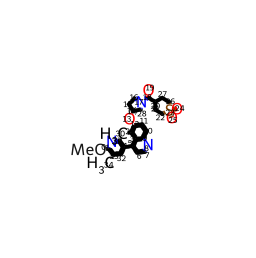 COc1ncc(-c2ccnc3ccc(O[C@H]4CCN(C(=O)C5CCS(=O)(=O)CC5)C4)c(C)c23)cc1C